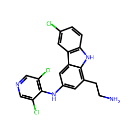 NCCc1cc(Nc2c(Cl)cncc2Cl)cc2c1[nH]c1ccc(Cl)cc12